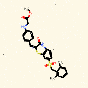 COC(=O)CNc1ccc(/C=C2/Sc3cc(S(=O)(=O)Cc4c(C)cccc4C)ccc3NC2=O)cc1